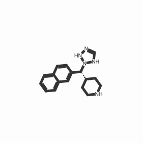 C1=NNN([C@@H](c2ccc3ccccc3c2)C2CCNCC2)N1